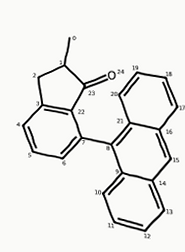 CC1Cc2cccc(-c3c4ccccc4cc4ccccc34)c2C1=O